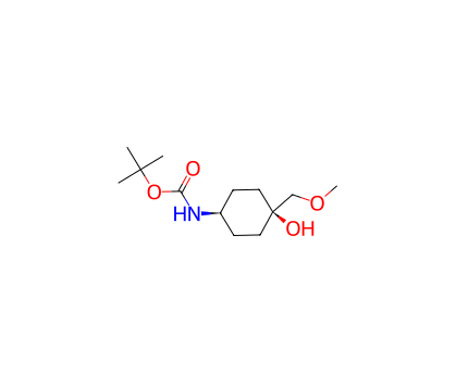 COC[C@]1(O)CC[C@@H](NC(=O)OC(C)(C)C)CC1